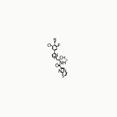 C[C@@H](Cn1ccc(-c2cc(F)c(C#N)c(Cl)c2)n1)NC(=O)c1cn2ccsc2n1